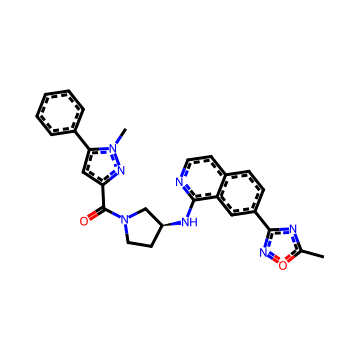 Cc1nc(-c2ccc3ccnc(N[C@H]4CCN(C(=O)c5cc(-c6ccccc6)n(C)n5)C4)c3c2)no1